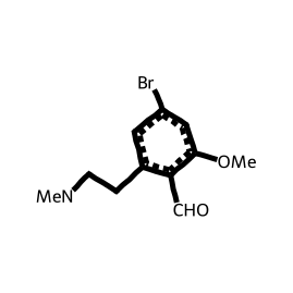 CNCCc1cc(Br)cc(OC)c1C=O